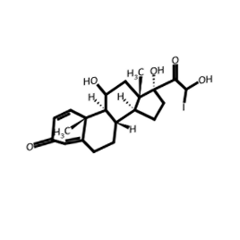 C[C@]12C=CC(=O)C=C1CC[C@@H]1[C@@H]2C(O)C[C@@]2(C)[C@H]1CC[C@]2(O)C(=O)C(O)I